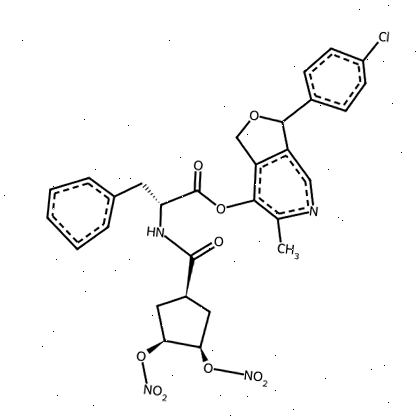 Cc1ncc2c(c1OC(=O)[C@@H](Cc1ccccc1)NC(=O)[C@@H]1C[C@H](O[N+](=O)[O-])[C@H](O[N+](=O)[O-])C1)COC2c1ccc(Cl)cc1